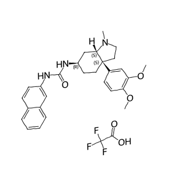 COc1ccc([C@@]23CC[C@@H](NC(=O)Nc4ccc5ccccc5c4)C[C@@H]2N(C)CC3)cc1OC.O=C(O)C(F)(F)F